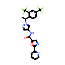 CC(c1ccc(C(F)(F)F)cc1C(F)(F)F)n1cc(NC(=O)c2cnc(-c3ccccn3)o2)cn1